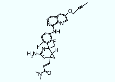 CC#CCOc1cnc2c(Nc3ccc(F)c([C@@]4(CF)N=C(N)S[C@@]5(C=CC(=O)N(C)C)C[C@H]54)c3)nccc2c1